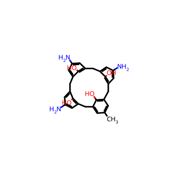 Cc1cc2c(O)c(c1)Cc1cc(N)cc(c1O)Cc1cc(N)cc(c1O)Cc1cc(N)cc(c1O)C2